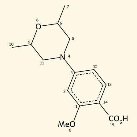 COc1cc(N2CC(C)OC(C)C2)ccc1C(=O)O